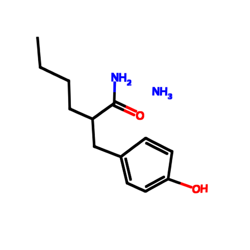 CCCCC(Cc1ccc(O)cc1)C(N)=O.N